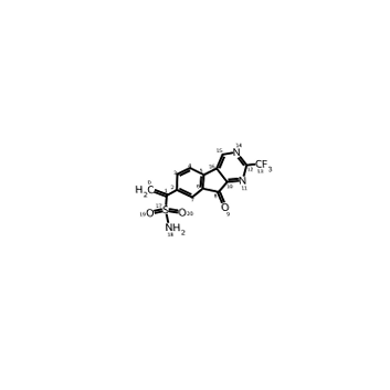 C=C(c1ccc2c(c1)C(=O)c1nc(C(F)(F)F)ncc1-2)S(N)(=O)=O